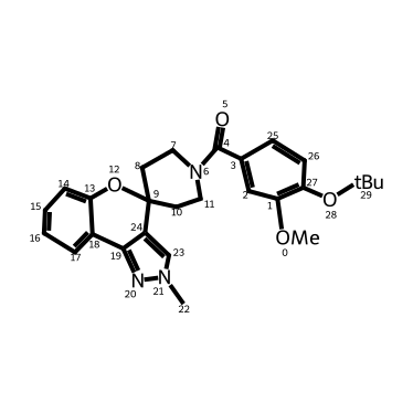 COc1cc(C(=O)N2CCC3(CC2)Oc2ccccc2-c2nn(C)cc23)ccc1OC(C)(C)C